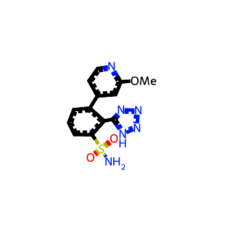 COc1cc(-c2cccc(S(N)(=O)=O)c2-c2nnn[nH]2)ccn1